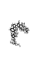 COc1nc(-c2ccnc(-c3cccc(Nc4nccc(CNC[C@H](C)O)c4F)c3Cl)c2Cl)cc(F)c1CNC[C@@H]1CCC(=O)N1